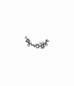 O=C(CCCCN1CCC(c2cccc(NC(=O)C3CC3)c2)CC1)c1ccc(F)cc1